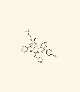 CC(C)CN(C[C@@H](OP(=O)(O)OCC[N+](C)(C)C)[C@H](Cc1ccccc1)NC(=O)O[C@H]1CCOC1)S(=O)(=O)c1ccc(N)cc1